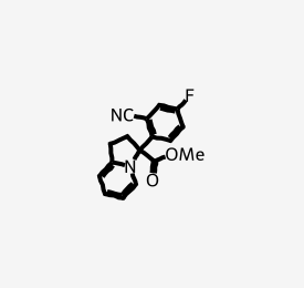 COC(=O)C1(c2ccc(F)cc2C#N)CCC2=CC=C=CN21